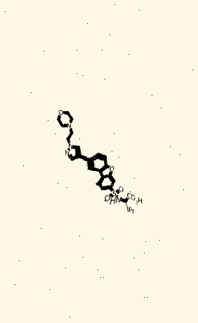 CC(C)[C@H](NS(=O)(=O)c1ccc2c(c1)oc1ccc(-c3cnn(CCN4CCOCC4)c3)cc12)C(=O)O